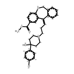 COC(=O)c1ccc2c(c1)C(=CCCN1CCC(O)(c3ccc(Cl)cc3)CC1)c1ccccc1CO2